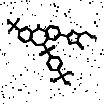 CCn1nc(-c2ccc3c(c2)N(S(=O)(=O)c2ccc(C(C)(C)C)cc2)Cc2ccc(C(F)(F)F)nc2N3)oc1=O